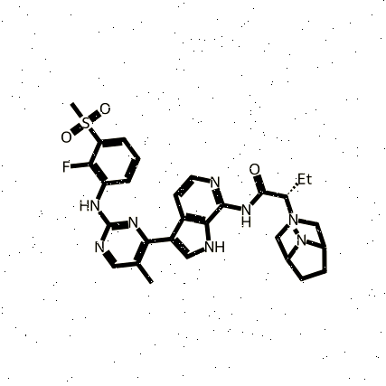 CC[C@@H](C(=O)Nc1nccc2c(-c3nc(Nc4cccc(S(C)(=O)=O)c4F)ncc3C)c[nH]c12)N1CC2CCC(C1)N2C